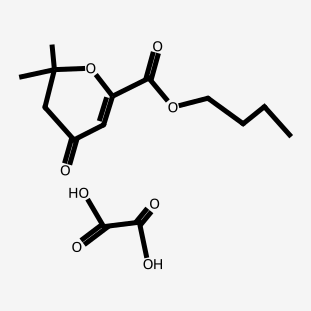 CCCCOC(=O)C1=CC(=O)CC(C)(C)O1.O=C(O)C(=O)O